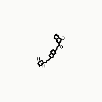 O=C(CCc1ccc2c(c1)CC(CCC[C@@H]1C[C@H]3C=C[C@@H]1O3)=C2)C1=CC(=O)C2C=CC=CC2=C1